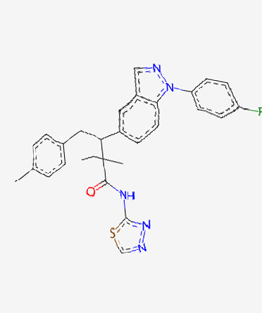 Cc1ccc(CC(c2ccc3c(cnn3-c3ccc(F)cc3)c2)C(C)(C)C(=O)Nc2nncs2)cc1